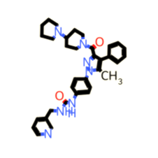 Cc1c(-c2ccccc2)c(C(=O)N2CCC(N3CCCCC3)CC2)nn1-c1ccc(NC(=O)NCc2cccnc2)cc1